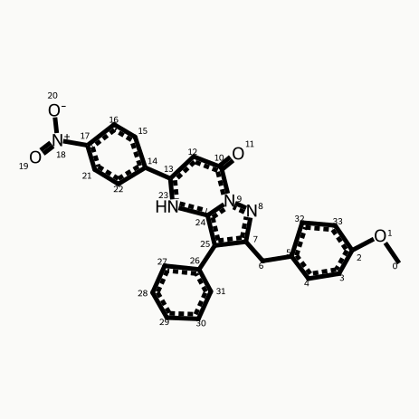 COc1ccc(Cc2nn3c(=O)cc(-c4ccc([N+](=O)[O-])cc4)[nH]c3c2-c2ccccc2)cc1